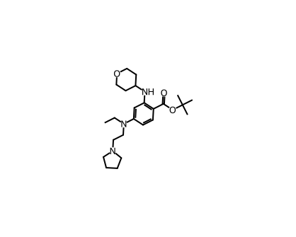 CCN(CCN1CCCC1)c1ccc(C(=O)OC(C)(C)C)c(NC2CCOCC2)c1